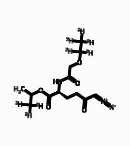 [2H]C([2H])([2H])C(C)OC(=O)[C@H](CCC(=O)C=[N+]=[N-])NC(=O)COC([2H])([2H])C([2H])([2H])[2H]